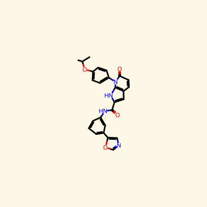 CC(C)Oc1ccc(-n2c(=O)ccc3cc(C(=O)Nc4cccc(-c5cnco5)c4)[nH]c32)cc1